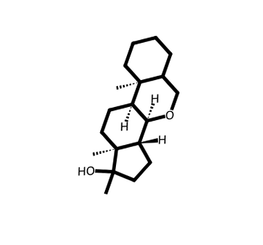 CC1(O)CC[C@H]2[C@@H]3OCC4CCCC[C@]4(C)[C@@H]3CC[C@@]21C